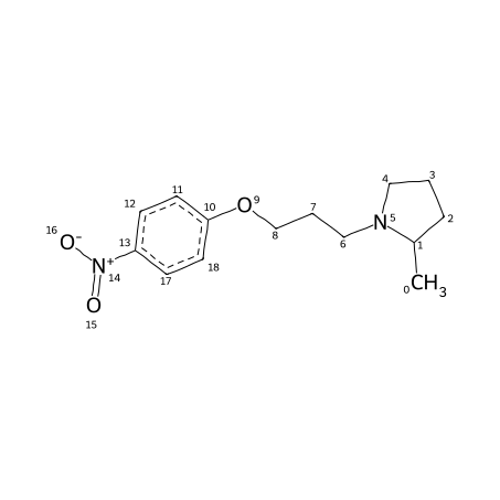 CC1CCCN1CCCOc1ccc([N+](=O)[O-])cc1